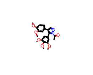 COc1ccc(-c2cnn(C(C)=O)c2-c2cc(OC)c(OC)c(OC)c2)cc1OC